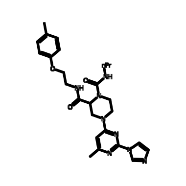 CCCNC(=O)N1CCN(c2cc(C)nc(-n3ccnc3)n2)CC1C(=O)NCCOc1ccc(C)cc1